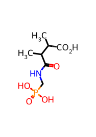 CC(C(=O)O)C(C)C(=O)NCP(=O)(O)O